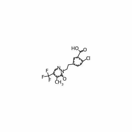 Cc1c(C(F)(F)F)cnn(CCc2ccc(Cl)c(C(=O)O)c2)c1=O